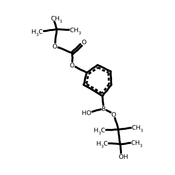 CC(C)(C)OC(=O)Oc1cccc(B(O)OC(C)(C)C(C)(C)O)c1